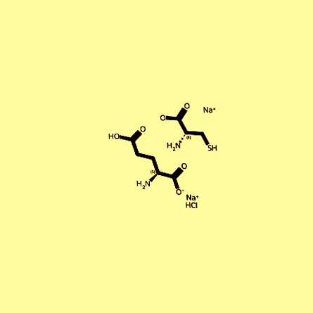 Cl.N[C@@H](CCC(=O)O)C(=O)[O-].N[C@@H](CS)C(=O)[O-].[Na+].[Na+]